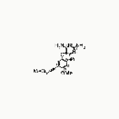 COCC#Cc1cc(Oc2cnc(N)nc2N)c(C(C)C)cc1OC